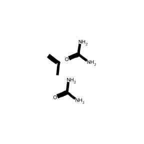 C=CC.NC(N)=O.NC(N)=O